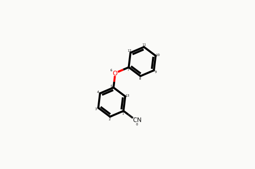 N#Cc1[c]ccc(Oc2ccccc2)c1